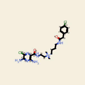 C[N+](C)(CCCCNC(=O)Cc1ccc(Cl)cc1)CCNC(=O)c1nc(Cl)c(N)nc1N